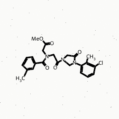 COC(=O)CN(CC(=O)N1CC(=O)N(c2cccc(Cl)c2C)C1)C(=O)c1cccc(C)c1